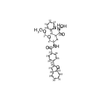 COCOCC(CC(Cc1ccccn1)C(=O)NO)NC(=O)c1ccc(-c2cc3ccccc3o2)cc1